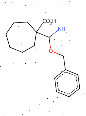 NC(OCc1ccccc1)C1(C(=O)O)CCCCCC1